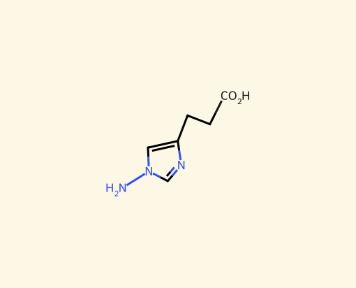 Nn1cnc(CCC(=O)O)c1